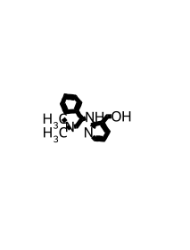 CN(C)CC(Nc1ncccc1CO)c1ccccc1